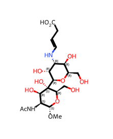 CO[C@H]1O[C@H](CO)[C@](O)([C@@H]2O[C@H](CO)[C@H](O)[C@@H](NC=CCC(=O)O)[C@H]2O)[C@H](O)[C@@H]1NC(C)=O